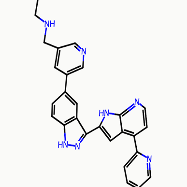 CCNCc1cncc(-c2ccc3[nH]nc(-c4cc5c(-c6ccccn6)ccnc5[nH]4)c3c2)c1